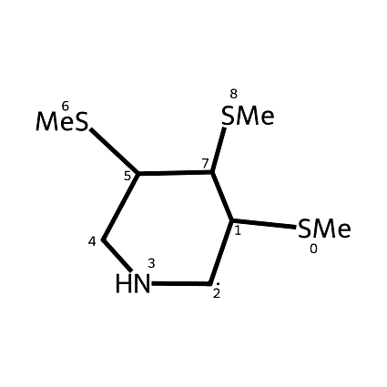 CSC1[CH]NCC(SC)C1SC